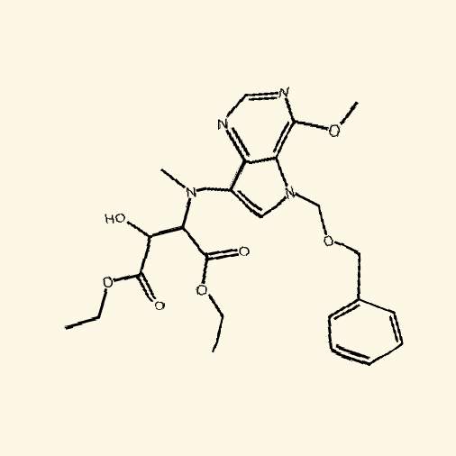 CCOC(=O)C(O)C(C(=O)OCC)N(C)c1cn(COCc2ccccc2)c2c(OC)ncnc12